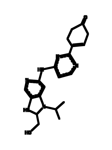 CC(C)N1c2cc(Nc3ccnc(C4=CCC(=O)CC4)n3)ncc2NC1CO